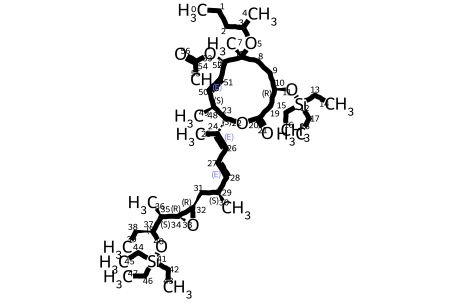 CCCC(C)O[C@]1(C)CC[C@@H](O[Si](CC)(CC)CC)CC(=O)O[C@H](/C(C)=C/C=C/[C@@H](C)C[C@H]2O[C@@H]2[C@H](C)[C@H](CC)O[Si](CC)(CC)CC)[C@@H](C)/C=C/[C@@H]1OC(C)=O